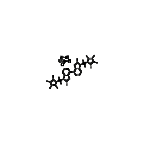 CC1=Cc2c(-c3cccc4c3C=C(C)C4[Si](C)(C)C3C(C)=C(C)C(C)=C3C)cccc2C1[Si](C)(C)C1C(C)=C(C)C(C)=C1C.[Cl][Zr][Cl].[Cl][Zr][Cl]